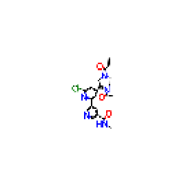 C=CC(=O)N1CCN(C(C)=O)[C@H](c2cc(Cl)nc(-c3cncc(C(=O)NC)c3)c2)C1